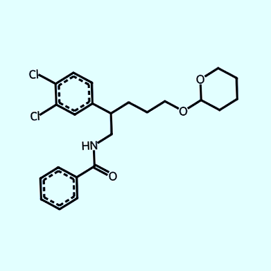 O=C(NCC(CCCOC1CCCCO1)c1ccc(Cl)c(Cl)c1)c1ccccc1